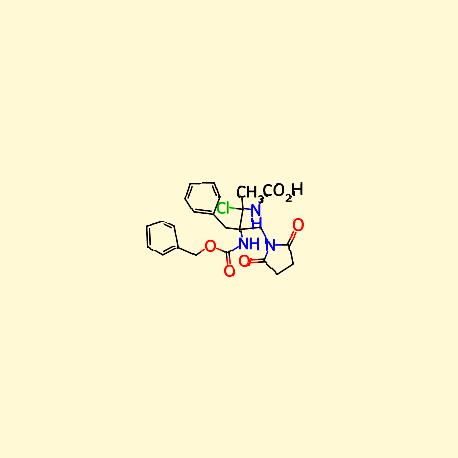 CC(Cl)(NC(=O)O)C(Cc1ccccc1)(CN1C(=O)CCC1=O)NC(=O)OCc1ccccc1